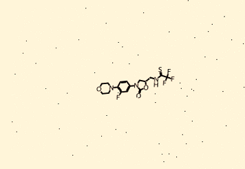 O=C1OC(CNC(=S)C(F)(F)F)CN1c1ccc(N2CCOCC2)c(F)c1